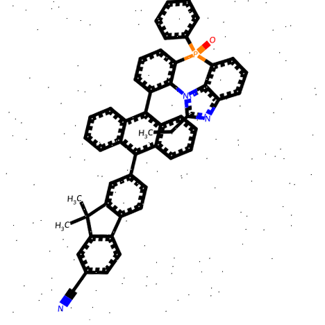 CCc1nc2cccc3c2n1-c1c(-c2c4ccccc4c(-c4ccc5c(c4)C(C)(C)c4cc(C#N)ccc4-5)c4ccccc24)cccc1P3(=O)c1ccccc1